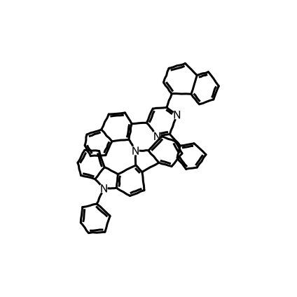 c1ccc(-c2nc(-c3ccc4ccccc4c3-n3c4ccccc4c4ccc5c(c6ccccc6n5-c5ccccc5)c43)cc(-c3cccc4ccccc34)n2)cc1